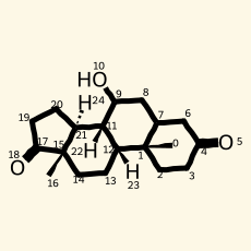 C[C@]12CCC(=O)CC1CC(O)[C@@H]1[C@H]2CC[C@]2(C)C(=O)CC[C@@H]12